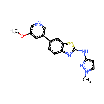 COc1cncc(-c2ccc3nc(Nc4ccn(C)n4)sc3c2)c1